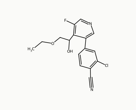 CCOCC(O)c1c(F)cncc1-c1ccc(C#N)c(Cl)c1